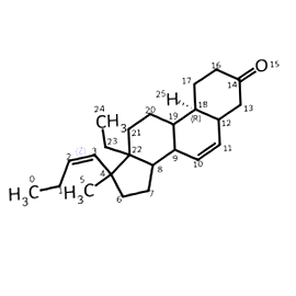 CC/C=C\C1(C)CCC2C3C=CC4CC(=O)CC[C@@H]4C3CCC21CC